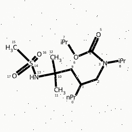 CCCC(CN(C(=O)OC(C)C)C(C)C)CC(C)(C)NS(C)(=O)=O